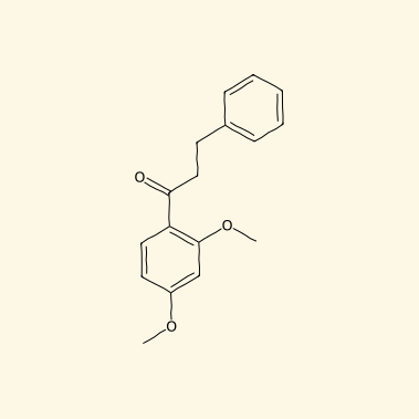 COc1ccc(C(=O)CCc2ccccc2)c(OC)c1